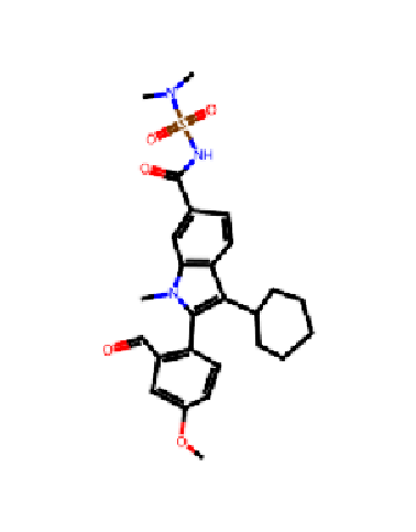 COc1ccc(-c2c(C3CCCCC3)c3ccc(C(=O)NS(=O)(=O)N(C)C)cc3n2C)c(C=O)c1